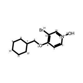 O[n+]1ccc(OCC2CCCCC2)c(Br)c1